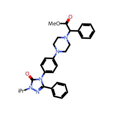 COC(=O)C(c1ccccc1)N1CCN(c2ccc(-n3c(-c4ccccc4)nn(C(C)C)c3=O)cc2)CC1